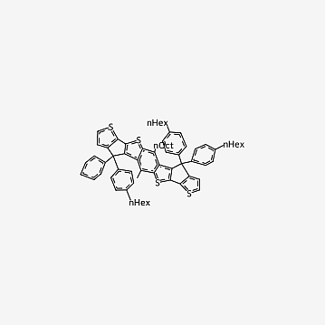 CCCCCCCCc1c2sc3c(c2c(C)c2sc4c(c12)C(c1ccc(CCCCCC)cc1)(c1ccc(CCCCCC)cc1)c1ccsc1-4)C(c1ccccc1)(c1ccc(CCCCCC)cc1)c1ccsc1-3